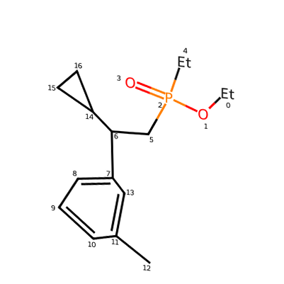 CCOP(=O)(CC)CC(c1cccc(C)c1)C1CC1